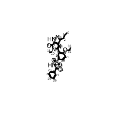 CCCc1n[nH]c2c(=O)n(CC)c(-c3cc(S(=O)(=O)NC(=O)c4ccccc4)ccc3OCC)nc12